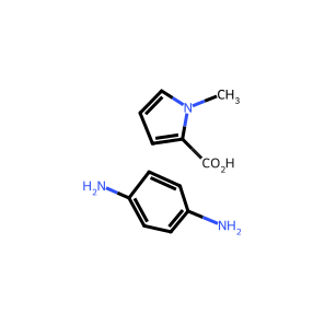 Cn1cccc1C(=O)O.Nc1ccc(N)cc1